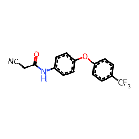 N#CCC(=O)Nc1ccc(Oc2ccc(C(F)(F)F)cc2)cc1